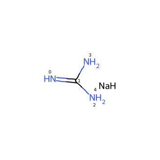 N=C(N)N.[NaH]